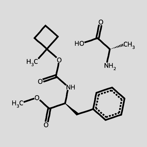 COC(=O)[C@H](Cc1ccccc1)NC(=O)OC1(C)CCC1.C[C@H](N)C(=O)O